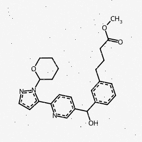 COC(=O)CCCc1cccc(C(O)c2ccc(-c3ccnn3C3CCCCO3)nc2)c1